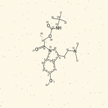 COc1ccc2c(c1)c(CCN(C)C)cn2C(=O)[C@H](C)OC(=O)NC(C)(C)C